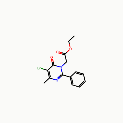 CCOC(=O)Cn1c(-c2ccccc2)nc(C)c(Br)c1=O